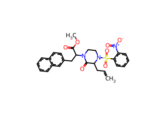 C=CCC1C(=O)N(C(Cc2ccc3ccccc3c2)C(=O)OC)CCN1S(=O)(=O)c1ccccc1[N+](=O)[O-]